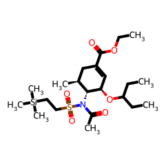 CCOC(=O)C1=C[C@@H](OC(CC)CC)[C@H](N(C(C)=O)S(=O)(=O)CC[Si](C)(C)C)[C@@H](C)C1